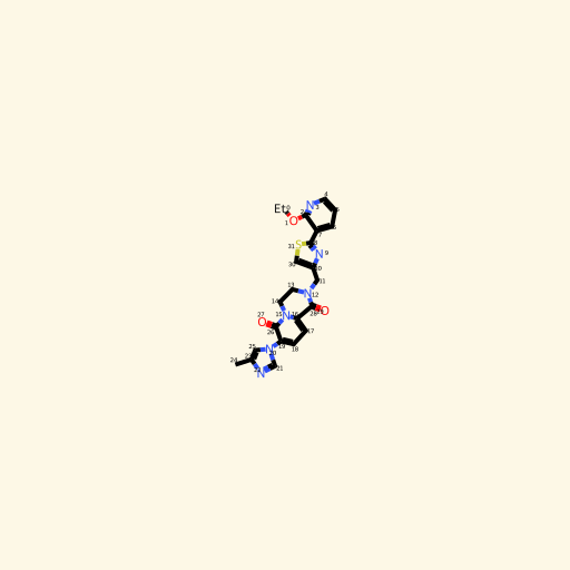 CCOc1ncccc1-c1nc(CN2CCn3c(ccc(-n4cnc(C)c4)c3=O)C2=O)cs1